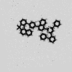 CC1(C)c2cccc(-c3ccc(-c4ccc(-c5nc(-c6ccccc6)cc(-c6ccccc6-c6ccccc6)n5)c5ccccc45)cc3)c2-c2c1ccc1ccccc21